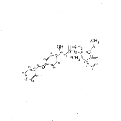 CCOc1ccccc1CCC(C)(C)NCC(O)c1ccc(OCc2ccccc2)cc1